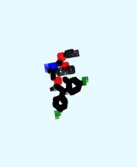 Cc1cc(F)ccc1[C@@H](c1ccc(F)cc1)[C@H](C)OC[C@@](C)(C=O)NC(=O)OC(C)(C)C